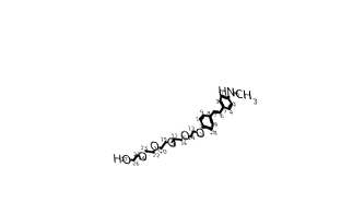 CNc1ccc(C=Cc2ccc(OCCOCCOCCOCCOCCO)cc2)cc1